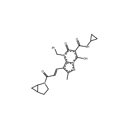 Cc1nn2c(O)c(C(=O)NC3CC3)c(=O)n(CC(C)C)c2c1/C=C/C(=O)N1CCC2CC21